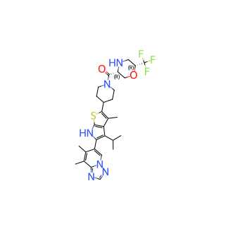 Cc1c(-c2[nH]c3sc(C4CCN(C(=O)[C@H]5CO[C@@H](C(F)(F)F)CN5)CC4)c(C)c3c2C(C)C)cn2ncnc2c1C